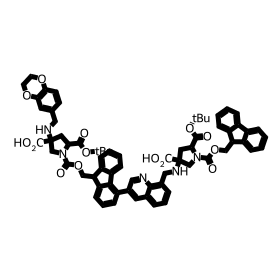 CC(C)(C)OC(=O)C1CC(NCc2cccc3cc(-c4cccc5c4-c4ccccc4C5COC(=O)N4CC(NCc5ccc6c(c5)OCCO6)(C(=O)O)CC4C(=O)OC(C)(C)C)cnc23)(C(=O)O)CN1C(=O)OCC1c2ccccc2-c2ccccc21